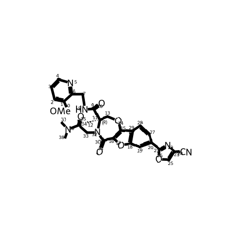 COc1cccnc1CNC(=O)[C@@]1(C)COc2c(oc3cc(-c4nc(C#N)co4)ccc23)C(=O)N1CC(=O)N(C)C